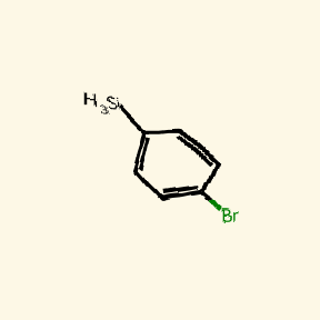 [SiH3]c1ccc(Br)cc1